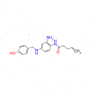 C=CCCC(=O)Nc1ccc(NCc2ccc(O)cc2)cc1N